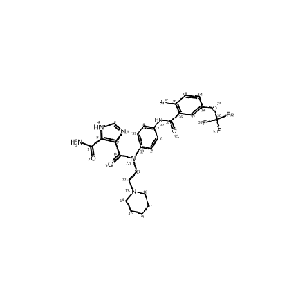 NC(=O)c1[nH]cnc1C(=O)N(CCN1CCCCC1)c1ccc(NC(=O)c2cc(OC(F)(F)F)ccc2Br)cc1